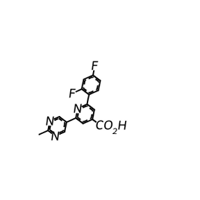 Cc1ncc(-c2cc(C(=O)O)cc(-c3ccc(F)cc3F)n2)cn1